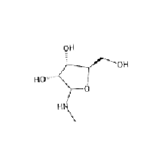 CNC1O[C@H](CO)[C@@H](O)[C@H]1O